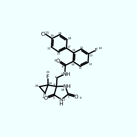 O=C1NC(=O)C(CNC(=O)c2ccc(F)cc2-c2ccc(Cl)cc2)(C2(F)CC2)N1